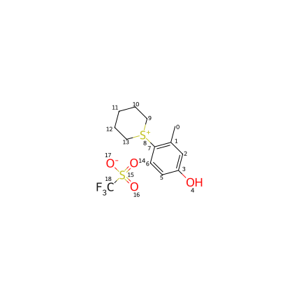 Cc1cc(O)ccc1[S+]1CCCCC1.O=S(=O)([O-])C(F)(F)F